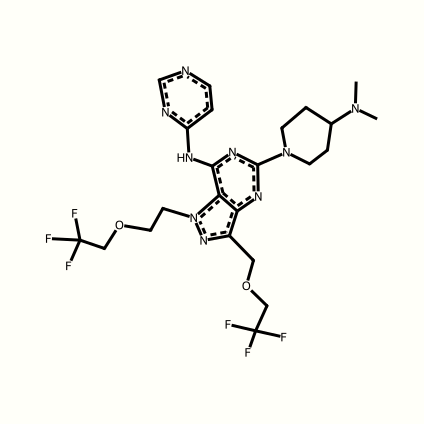 CN(C)C1CCN(c2nc(Nc3ccncn3)c3c(n2)c(COCC(F)(F)F)nn3CCOCC(F)(F)F)CC1